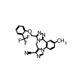 Cc1ccc2c(c1)-c1nnc(COc3ccccc3C(F)(F)F)n1Cc1c(C#N)ncn1-2